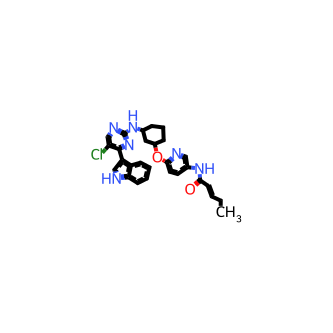 CC/C=C/C(=O)Nc1ccc(OC2CCCC(Nc3ncc(Cl)c(-c4c[nH]c5ccccc45)n3)C2)nc1